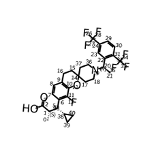 C[C@H](C(=O)O)[C@H](c1ccc2c(c1F)OC1(CC2)CCN([C@H](C)c2cc(C(F)(F)F)ccc2C(F)(F)F)CC1)C1CC1